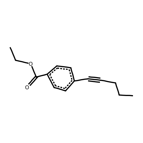 CCCC#Cc1ccc(C(=O)OCC)cc1